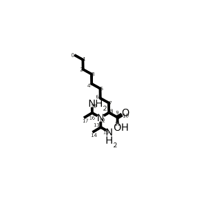 CCCCCCCCC(C(=O)O)N(C(C)N)C(C)N